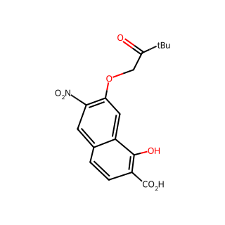 CC(C)(C)C(=O)COc1cc2c(O)c(C(=O)O)ccc2cc1[N+](=O)[O-]